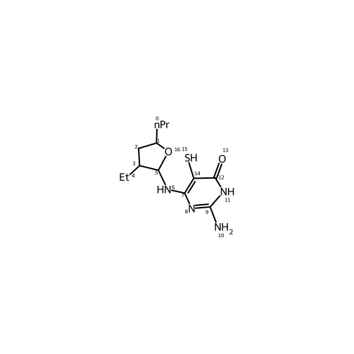 CCCC1CC(CC)C(Nc2nc(N)[nH]c(=O)c2S)O1